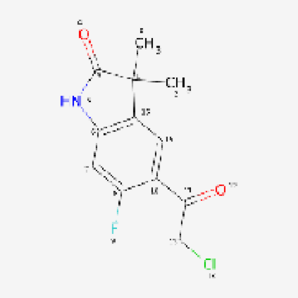 CC1(C)C(=O)Nc2cc(F)c(C(=O)CCl)cc21